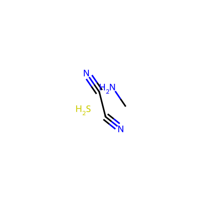 CN.N#CC#N.S